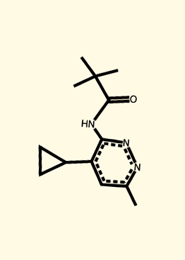 Cc1cc(C2CC2)c(NC(=O)C(C)(C)C)nn1